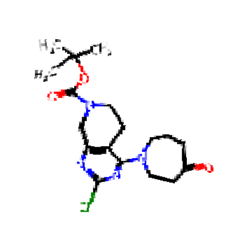 CC(C)(C)OC(=O)N1CCc2c(nc(Cl)nc2N2CCCC(=O)CC2)C1